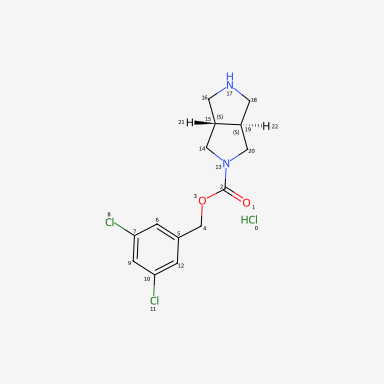 Cl.O=C(OCc1cc(Cl)cc(Cl)c1)N1C[C@@H]2CNC[C@H]2C1